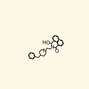 O=C1c2cccc3cccc(c23)C(O)N1CCN1CCC(Cc2ccccc2)CC1